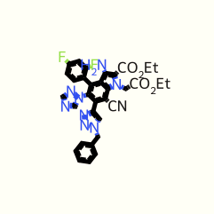 CCOC(=O)Cn1c(C(=O)OCC)c(N)c2c(-c3ccc(F)cc3F)c(-n3cncn3)c(-c3cn(Cc4ccccc4)nn3)c(C#N)c21